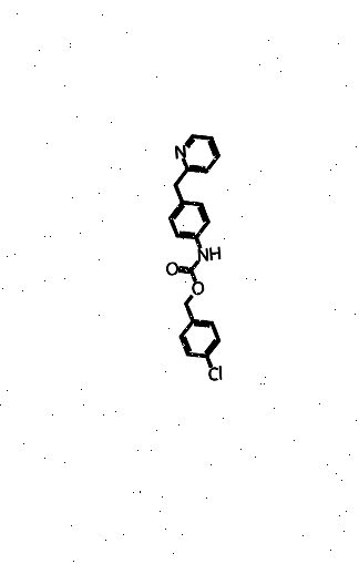 O=C(Nc1ccc(Cc2ccccn2)cc1)OCc1ccc(Cl)cc1